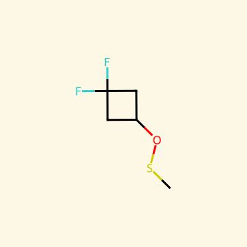 CSOC1CC(F)(F)C1